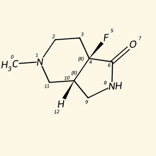 CN1CC[C@]2(F)C(=O)NC[C@@H]2C1